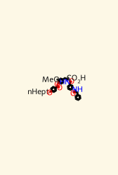 CCCCCCCOc1ccc(C(=O)Oc2ccc(CC(NC(=O)c3cccc(NC(=O)Cc4ccccc4)c3)C(=O)O)cc2OC)cc1